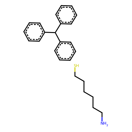 NCCCCCCS.c1ccc(C(c2ccccc2)c2ccccc2)cc1